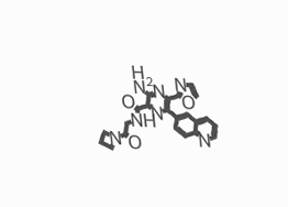 Nc1nc(-c2ncco2)c(-c2ccc3ncccc3c2)nc1C(=O)NCC(=O)N1CCC1